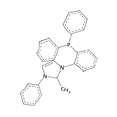 CC1N(c2ccccc2)C=CN1c1ccccc1P(c1ccccc1)c1ccccc1